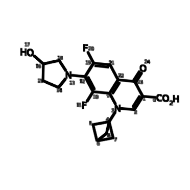 O=C(O)c1cn(C23CC(C2)C3)c2c(F)c(N3CCC(O)C3)c(F)cc2c1=O